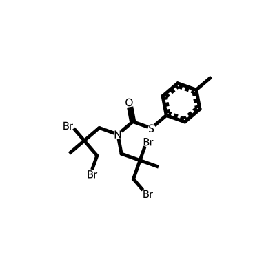 Cc1ccc(SC(=O)N(CC(C)(Br)CBr)CC(C)(Br)CBr)cc1